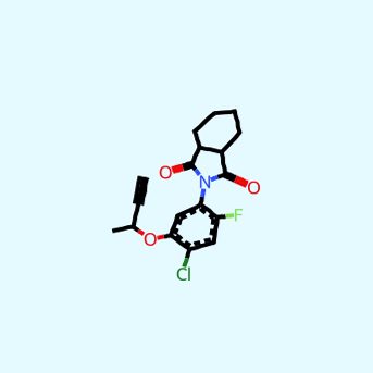 C#CC(C)Oc1cc(N2C(=O)C3CCCCC3C2=O)c(F)cc1Cl